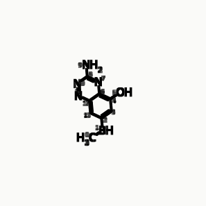 CBc1cc(O)c2nc(N)nnc2c1